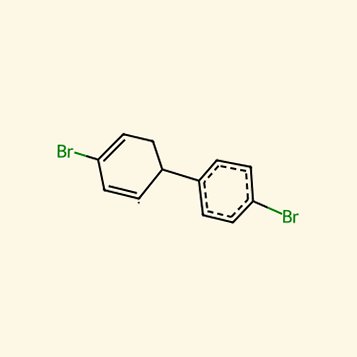 BrC1=CCC(c2ccc(Br)cc2)[C]=C1